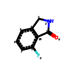 O=C1NCc2cccc(F)c21